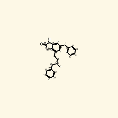 CN(CCc1cc(Cc2ccccc2)cc2c1[N]C(=O)N2)Cc1ccccc1